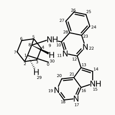 C[C@H]1C2CCC(CC2)[C@@H]1Nc1nc(-c2c[nH]c3ncncc23)nc2ccccc12